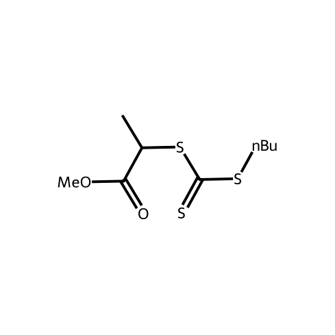 CCCCSC(=S)SC(C)C(=O)OC